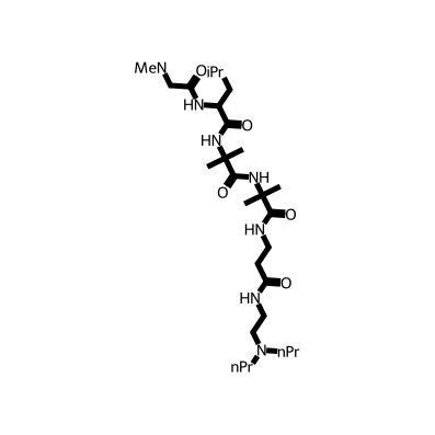 CCCN(CCC)CCNC(=O)CCNC(=O)C(C)(C)NC(=O)C(C)(C)NC(=O)C(CC(C)C)NC(=O)CNC